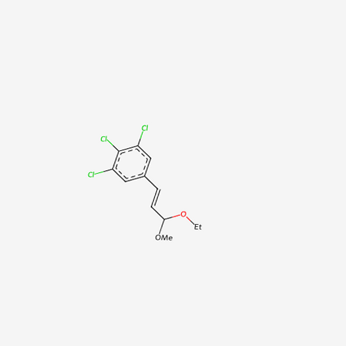 CCOC(/C=C/c1cc(Cl)c(Cl)c(Cl)c1)OC